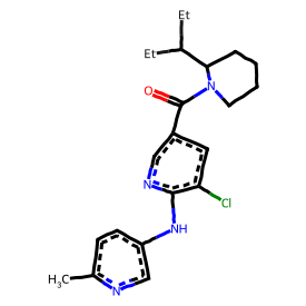 CCC(CC)C1CCCCN1C(=O)c1cnc(Nc2ccc(C)nc2)c(Cl)c1